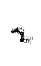 Cc1cccc(CO[C@@H]2CCC[C@H](OCc3nc(-c4cccs4)oc3C)C2)c1C(=O)O